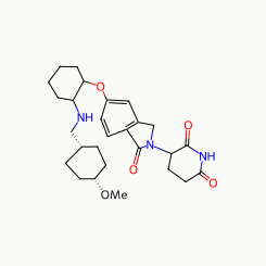 CO[C@H]1CC[C@@H](CNC2CCCCC2Oc2ccc3c(c2)CN(C2CCC(=O)NC2=O)C3=O)CC1